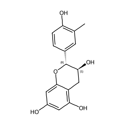 Cc1cc([C@H]2Oc3cc(O)cc(O)c3C[C@@H]2O)ccc1O